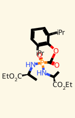 CCOC(=O)[C@H](C)NP(=O)(N[C@@H](C)C(=O)OCC)C(=O)Oc1c(C(C)C)cccc1C(C)C